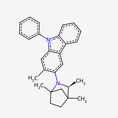 Cc1cc2c(cc1N1[C@@H](C)C3(C)CCC1(C)C3)c1ccccc1n2-c1ccccc1